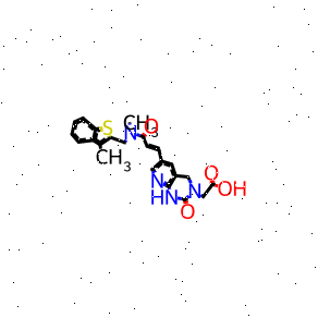 Cc1c(CN(C)C(=O)/C=C/c2cnc3c(c2)CN(CC(=O)O)C(=O)N3)sc2ccccc12